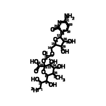 [2H]CC(O)C(O)C1OC(OP(=O)(O)OCC2OC(n3ccc(N)nc3=O)C(O)C2O)(C(=O)O)CC(O)C1C